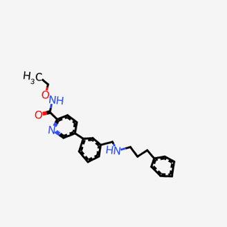 CCONC(=O)c1ccc(-c2cccc(CNCCCc3ccccc3)c2)cn1